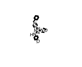 COc1ccc(Nc2nc(N3CCOCC3)nc(N3CCN(Cc4ccccc4)CC3)n2)cc1